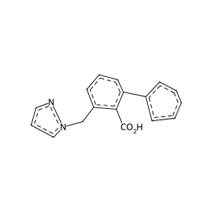 O=C(O)c1c(Cn2cccn2)cccc1-c1ccccc1